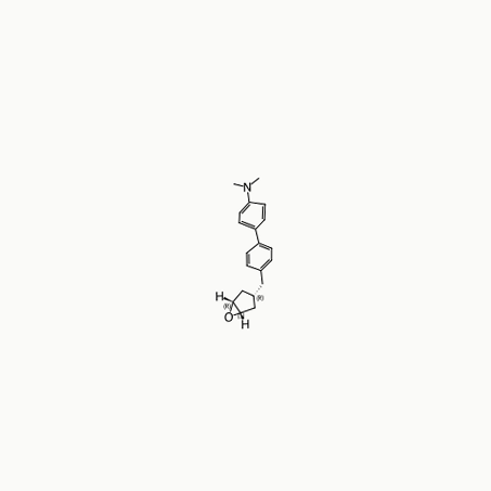 CN(C)c1ccc(-c2ccc(C[C@@H]3C[C@@H]4O[C@@H]4C3)cc2)cc1